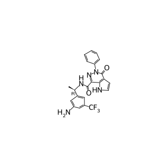 C[C@@H](NC(=O)c1nn(-c2ccccc2)c(=O)c2cc[nH]c12)c1cc(N)cc(C(F)(F)F)c1